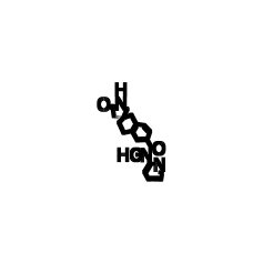 O=C1C[C@]2(CCc3cc(C(=O)N(O)c4ccccn4)ccc3C2)CN1